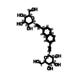 OC[C@H]1O[C@H](C#Cc2ccc3ccc(C#C[C@H]4O[C@H](CO)[C@@H](O)[C@H](O)[C@@H]4O)cc3c2)[C@H](O)[C@@H](O)[C@@H]1O